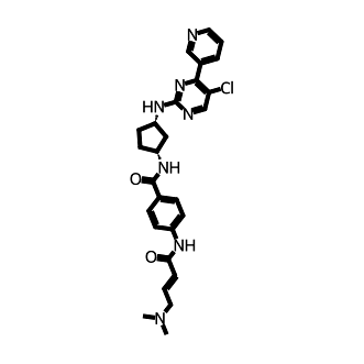 CN(C)CC=CC(=O)Nc1ccc(C(=O)N[C@@H]2CC[C@H](Nc3ncc(Cl)c(-c4cccnc4)n3)C2)cc1